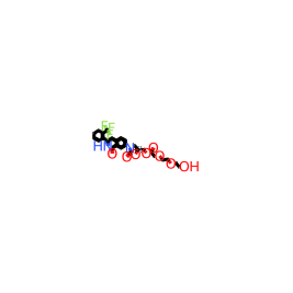 O=C(COCCOCCO)OC[C@@H]1CN(c2ccc3cc(C4=C(C(F)(F)F)CCC=C4)[nH]c(=O)c3c2)C(=O)O1